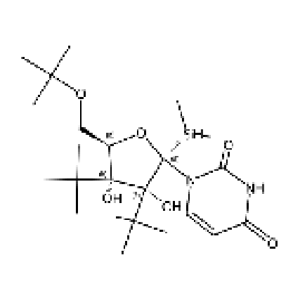 C[SiH](C)[C@@]1(n2ccc(=O)[nH]c2=O)O[C@H](COC(C)(C)C)[C@](O)(C(C)(C)C)[C@]1(O)C(C)(C)C